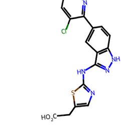 O=C(O)Cc1cnc(Nc2n[nH]c3ccc(-c4ncccc4Cl)cc23)s1